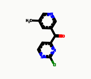 Cc1cncc(C(=O)c2ccnc(Cl)n2)c1